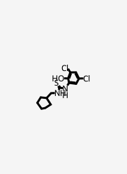 Oc1c(Cl)cc(Cl)cc1NC(=S)NCC1CCCCC1